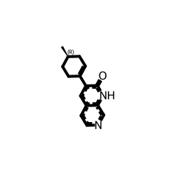 C[C@H]1CC=C(c2cc3ccncc3[nH]c2=O)CC1